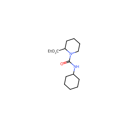 CCOC(=O)C1CCCCN1C(=O)NC1CCCCC1